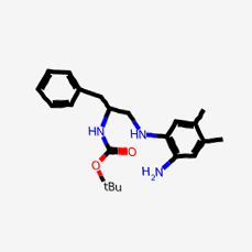 Cc1cc(N)c(NCC(Cc2ccccc2)NC(=O)OC(C)(C)C)cc1C